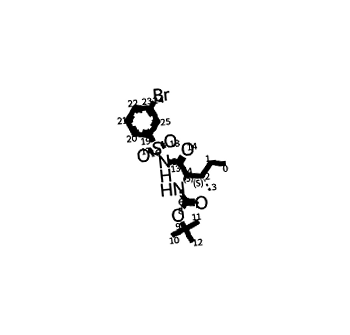 CC[C@H](C)[C@H](NC(=O)OC(C)(C)C)C(=O)NS(=O)(=O)c1cccc(Br)c1